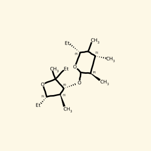 CC[C@@H]1OC(C)(CC)[C@H](OC2O[C@H](CC)C(C)[C@H](C)[C@H]2C)[C@H]1C